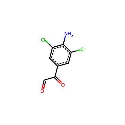 Nc1c(Cl)cc(C(=O)C=O)cc1Cl